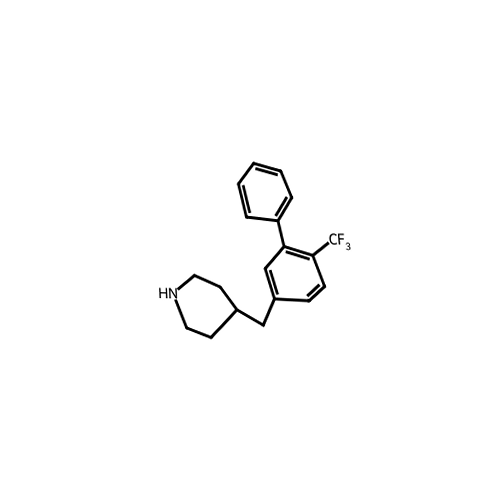 FC(F)(F)c1ccc(CC2CCNCC2)cc1-c1ccccc1